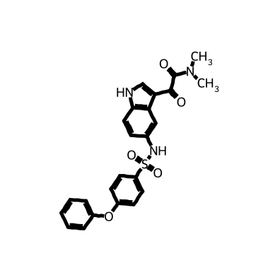 CN(C)C(=O)C(=O)c1c[nH]c2ccc(NS(=O)(=O)c3ccc(Oc4ccccc4)cc3)cc12